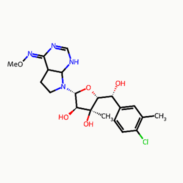 CO/N=C1/N=CNC2C1CCN2[C@@H]1O[C@H]([C@H](O)c2ccc(Cl)c(C)c2)[C@@](C)(O)[C@H]1O